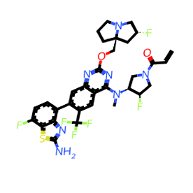 C=CC(=O)N1C[C@@H](F)[C@@H](N(C)c2nc(OC[C@@]34CCCN3C[C@H](F)C4)nc3cc(-c4ccc(F)c5sc(N)nc45)c(C(F)(F)F)cc23)C1